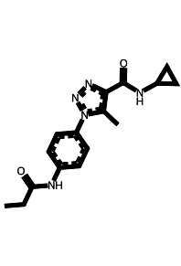 CCC(=O)Nc1ccc(-n2nnc(C(=O)NC3CC3)c2C)cc1